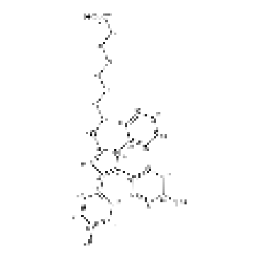 O=C(O)CCCCCCCOc1nc(-c2ccc(F)cc2)c(-c2ccc(F)cc2)n1-c1ccccc1